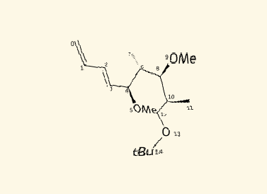 C=CC=C[C@H](OC)[C@H](C)[C@@H](OC)[C@@H](C)COC(C)(C)C